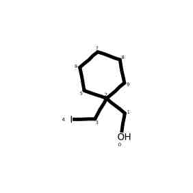 OCC1(CI)CCCCC1